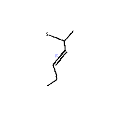 CC/C=C/C(C)[S]